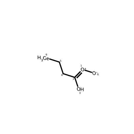 [O-][O+]=C(O)C[CH2][GeH3]